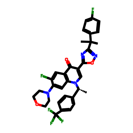 C[C@H](c1ccc(C(F)(F)F)cc1)n1cc(-c2nc(C(C)(C)c3ccc(F)cc3)no2)c(=O)c2cc(F)c(N3CCOCC3)cc21